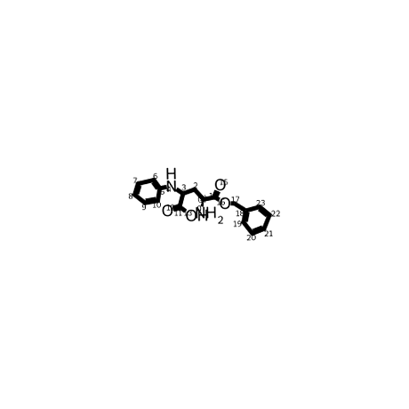 N[C@@H](CC(Nc1ccccc1)C(=O)O)C(=O)OCc1ccccc1